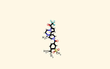 CC(C)c1ccc(C(=O)N2CCC3(CC2)c2ccc(C(=O)C(F)(F)F)n2CCN3C)cc1S(C)(=O)=O